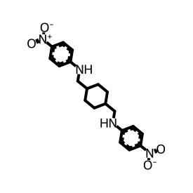 O=[N+]([O-])c1ccc(NCC2CCC(CNc3ccc([N+](=O)[O-])cc3)CC2)cc1